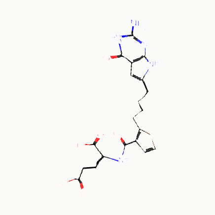 Nc1nc2[nH]c(CCCCc3sccc3C(=O)NC(CCC(=O)O)C(=O)O)cc2c(=O)[nH]1